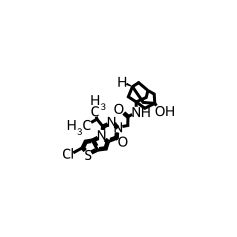 CC(C)c1nn(CC(=O)NC23CC4C[C@H](CC(O)(C4)C2)C3)c(=O)c2cc3sc(Cl)cc3n12